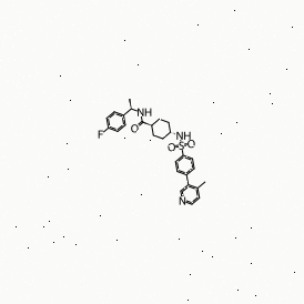 Cc1ccncc1-c1ccc(S(=O)(=O)N[C@H]2CC[C@H](C(=O)N[C@H](C)c3ccc(F)cc3)CC2)cc1